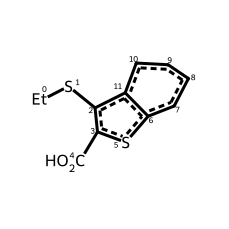 CCSc1c(C(=O)O)sc2ccccc12